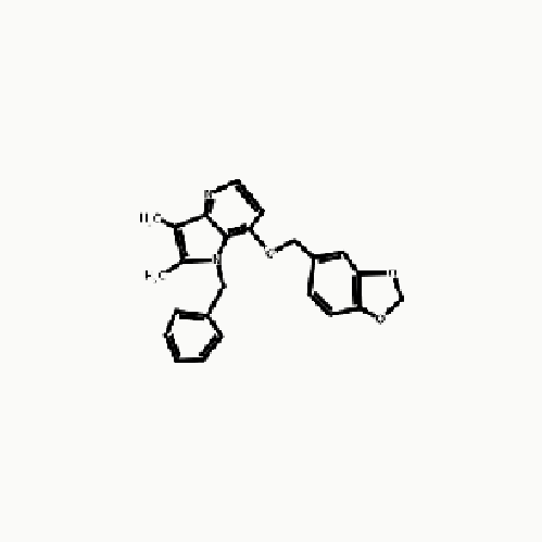 Cc1c(C)n(Cc2ccccc2)c2c(OCc3ccc4c(c3)OCO4)ccnc12